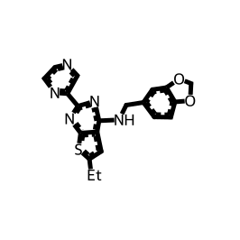 CCc1cc2c(NCc3ccc4c(c3)OCO4)nc(-c3cnccn3)nc2s1